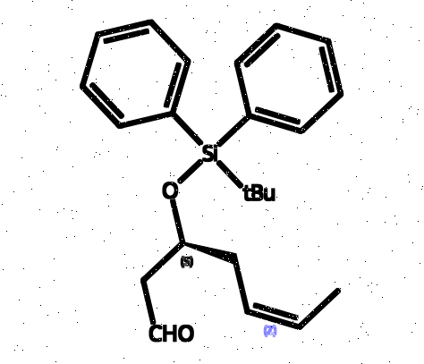 C/C=C\C[C@@H](CC=O)O[Si](c1ccccc1)(c1ccccc1)C(C)(C)C